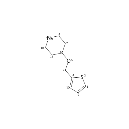 c1csc(COC2CC[N]CC2)c1